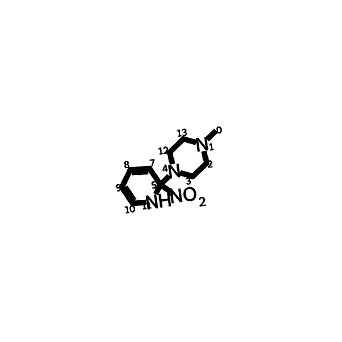 CN1CCN(C2([N+](=O)[O-])C=CC=CN2)CC1